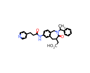 CC(c1ccccc1)N1Cc2ccc(NC(=O)CCc3ccncc3)cc2CC(CC(=O)O)C1=O